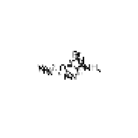 [N-]=[N+]=NCCOC(=O)c1cc(Br)nc(N)c1C=N